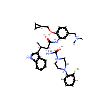 C[C@H](c1c[nH]c2ccccc12)[C@@H](NC(=O)N1CCN(c2ccccc2F)CC1)C(=O)Nc1cc(CN(C)C)ccc1OCC1CC1